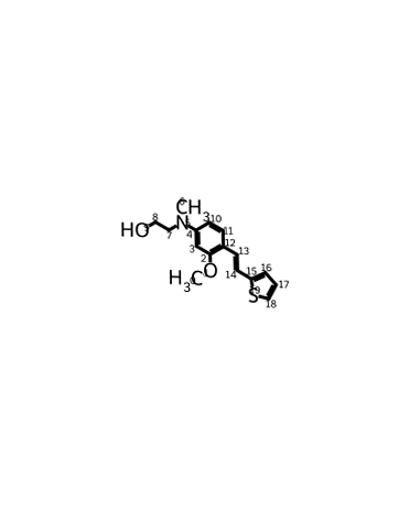 COc1cc(N(C)CCO)ccc1/C=C/c1cccs1